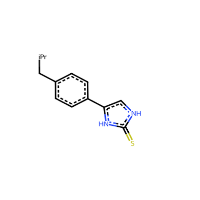 CC(C)Cc1ccc(-c2c[nH]c(=S)[nH]2)cc1